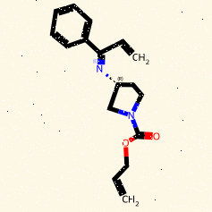 C=CCOC(=O)N1CC[C@@H](/N=C(\C=C)c2ccccc2)C1